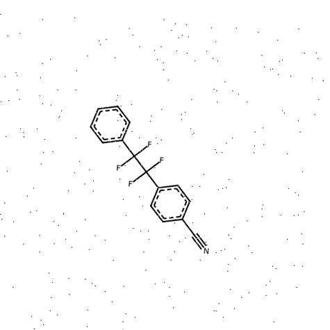 N#Cc1ccc(C(F)(F)C(F)(F)c2ccccc2)cc1